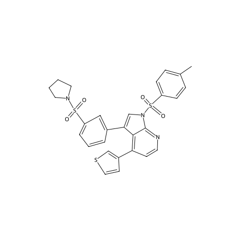 Cc1ccc(S(=O)(=O)n2cc(-c3cccc(S(=O)(=O)N4CCCC4)c3)c3c(-c4ccsc4)ccnc32)cc1